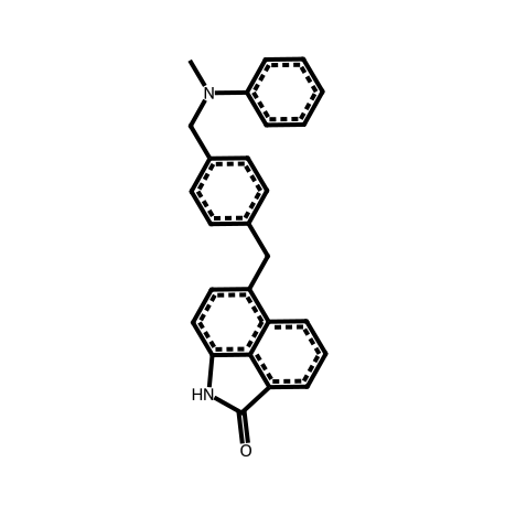 CN(Cc1ccc(Cc2ccc3c4c(cccc24)C(=O)N3)cc1)c1ccccc1